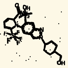 CC(C)(O)c1cc2nn(C3CCC(CO)CC3)cc2cc1N1C(S(F)(F)(F)(F)F)=CC=CC1C(N)=O